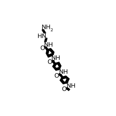 CC(=O)Nc1ccc(C(=O)Nc2ccc(C(=O)Nc3ccc(C(=O)NCCNCCN)cc3)cc2)cc1